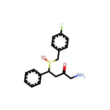 NCC(=O)CC(c1ccccc1)[S+]([O-])Cc1ccc(F)cc1